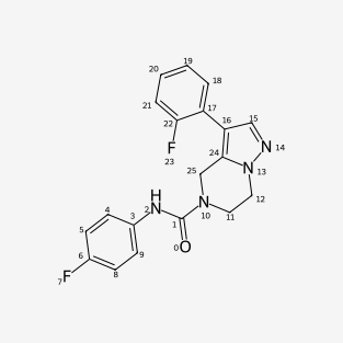 O=C(Nc1ccc(F)cc1)N1CCn2ncc(-c3ccccc3F)c2C1